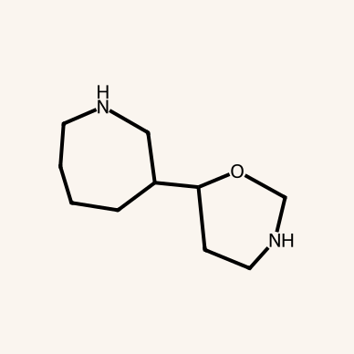 C1CCC(C2CCNCO2)CNC1